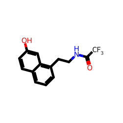 O=C(NCCc1cccc2ccc(O)cc12)C(F)(F)F